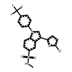 CNS(=O)(=O)c1ccc2c(c1)c(-c1ccc(Cl)o1)cn2-c1ccc(C(F)(F)F)cc1